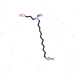 CCCCCCCCCCCCCCCCCCCCCCN(CCC)CCCO